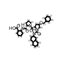 O=C(O)c1ccccc1NC(=O)[C@@H]1CCCN1C(=O)[C@@H]1C[C@@H](OCc2ccccc2)CN1C(=O)Nc1ccc2ccccc2c1